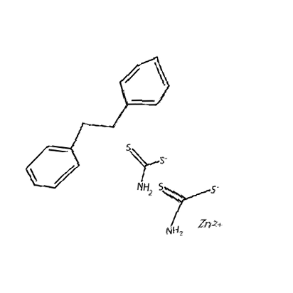 NC(=S)[S-].NC(=S)[S-].[Zn+2].c1ccc(CCc2ccccc2)cc1